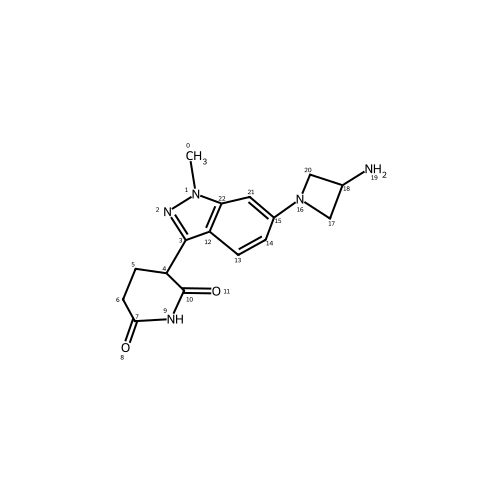 Cn1nc(C2CCC(=O)NC2=O)c2ccc(N3CC(N)C3)cc21